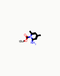 CC1=CC(N)N(C(=O)OC(C)(C)C)C(C)=C1